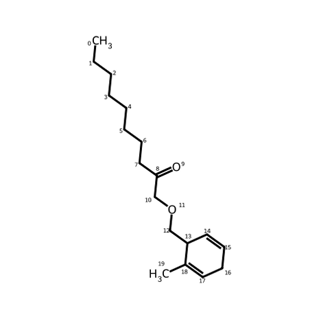 CCCCCCCCC(=O)COCC1C=CCC=C1C